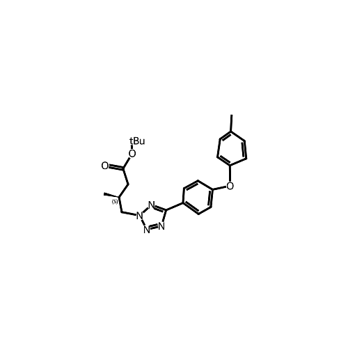 Cc1ccc(Oc2ccc(-c3nnn(C[C@@H](C)CC(=O)OC(C)(C)C)n3)cc2)cc1